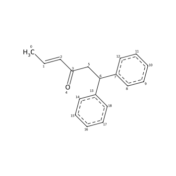 CC=CC(=O)CC(c1ccccc1)c1ccccc1